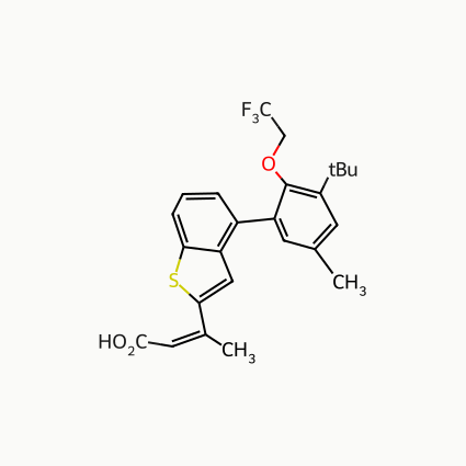 C/C(=C/C(=O)O)c1cc2c(-c3cc(C)cc(C(C)(C)C)c3OCC(F)(F)F)cccc2s1